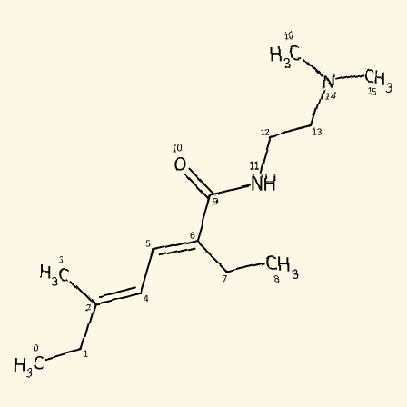 CC/C(C)=C/C=C(\CC)C(=O)NCCN(C)C